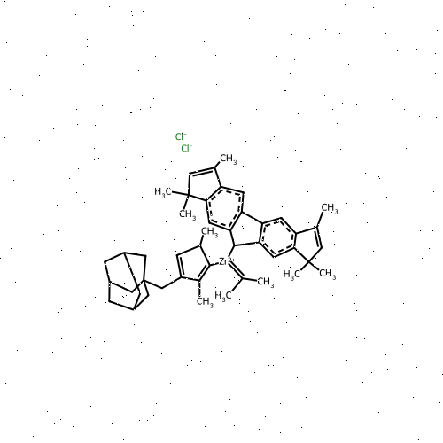 CC1=CC(C)(C)c2cc3c(cc21)-c1cc2c(cc1[CH]3[Zr+2]([C]1=C(C)C(CC34CC5CC(CC(C5)C3)C4)=CC1C)=[C](C)C)C(C)(C)C=C2C.[Cl-].[Cl-]